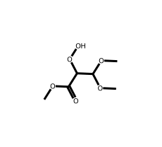 COC(=O)C(OO)C(OC)OC